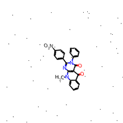 Cn1c2ccccc2c(=O)c2c(=O)n(-c3ccccc3)c(-c3ccc([N+](=O)[O-])cc3)nc21